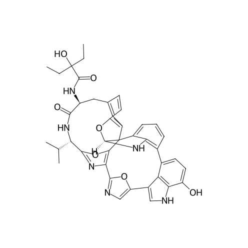 CCC(O)(CC)C(=O)N[C@H]1Cc2ccc3c(c2)C24c5cccc(c5N[C@H]2O3)-c2ccc(O)c3[nH]cc(c23)-c2cnc(o2)-c2nc(oc24)[C@H](C(C)C)NC1=O